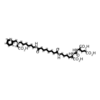 O=C(O)CCC(NC(=O)NC(CCCCNC(=O)CCCCCCC(=O)NCCCCCCN(CC(=O)O)Cc1ccccn1)C(=O)O)C(=O)O